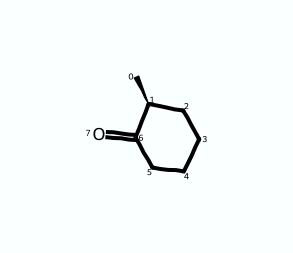 C[C@H]1CCCCC1=O